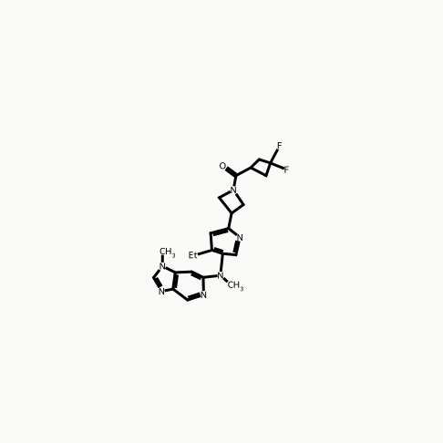 CCc1cc(C2CN(C(=O)C3CC(F)(F)C3)C2)ncc1N(C)c1cc2c(cn1)ncn2C